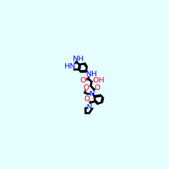 N=C1NCc2cc(NC(=O)[C@H](O)[C@H]3OCCN(c4ccccc4C(=O)N4CCCC4)C3=O)ccc21